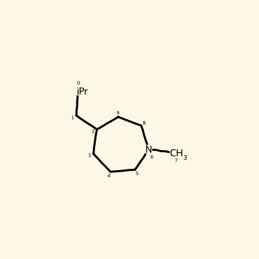 CC(C)CC1CCCN(C)CC1